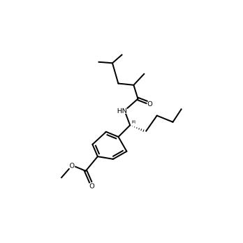 CCCC[C@@H](NC(=O)C(C)CC(C)C)c1ccc(C(=O)OC)cc1